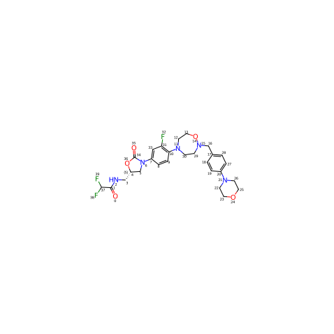 O=C(NC[C@H]1CN(c2ccc(N3CCON(Cc4ccc(N5CCOCC5)cc4)CC3)c(F)c2)C(=O)O1)C(F)F